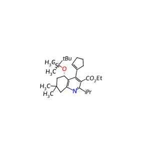 CCOC(=O)c1c(C(C)C)nc2c(c1C1=CCCC1)[C@@H](O[Si](C)(C)C(C)(C)C)CC(C)(C)C2